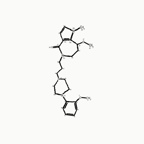 COc1ccccc1N1CCN(CCCN2CCC(OC)c3c(ccn3C)C2=O)CC1